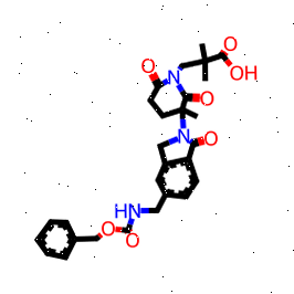 CC(C)(CN1C(=O)CCC(C)(N2Cc3cc(CNC(=O)OCc4ccccc4)ccc3C2=O)C1=O)C(=O)O